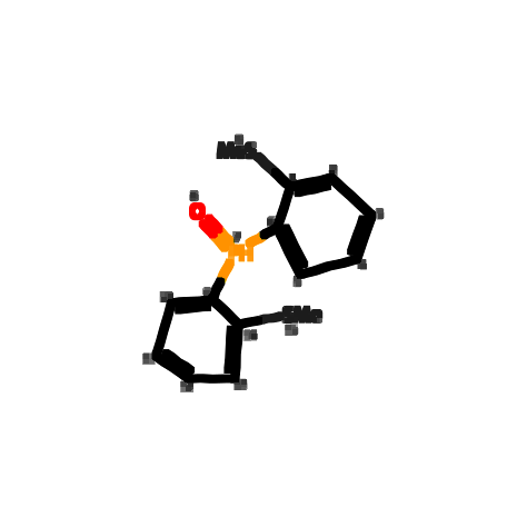 CSc1ccccc1[PH](=O)c1ccccc1SC